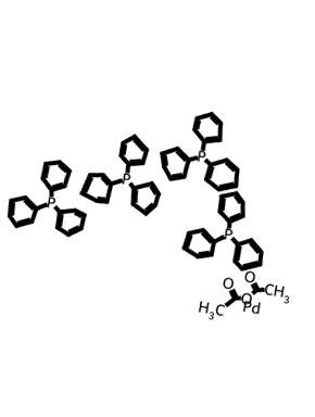 CC(=O)OC(C)=O.[Pd].c1ccc(P(c2ccccc2)c2ccccc2)cc1.c1ccc(P(c2ccccc2)c2ccccc2)cc1.c1ccc(P(c2ccccc2)c2ccccc2)cc1.c1ccc(P(c2ccccc2)c2ccccc2)cc1